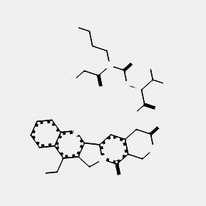 CCCCN(C(=O)CN)C(=O)N[C@H](C(=O)O[C@@H]1C(=O)OCc2c1cc1n(c2=O)Cc2c-1nc1ccccc1c2CC)C(C)O